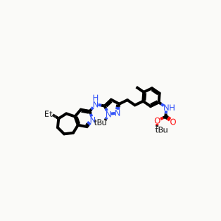 CCC1CCCc2cnc(Nc3cc(CCc4cc(NC(=O)OC(C)(C)C)ccc4C)nn3C(C)(C)C)cc2C1